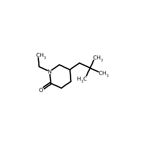 CCN1CC(CC(C)(C)C)CCC1=O